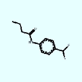 CCCC(=O)Nc1ccc(C(F)F)cc1